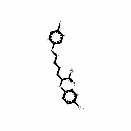 Cc1ccc(OC(CCCCSc2ccc(Cl)cc2)C(=O)O)cc1